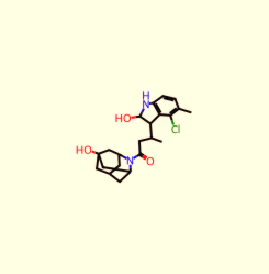 Cc1ccc2c(c1Cl)C(C(C)CC(=O)N1C3CC4CC1CC(O)(C4)C3)C(O)N2